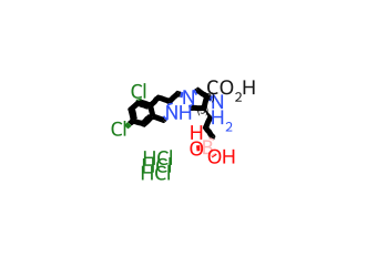 Cl.Cl.Cl.N[C@@]1(C(=O)O)CN(CC2Cc3c(Cl)cc(Cl)cc3CN2)C[C@@H]1CCCB(O)O